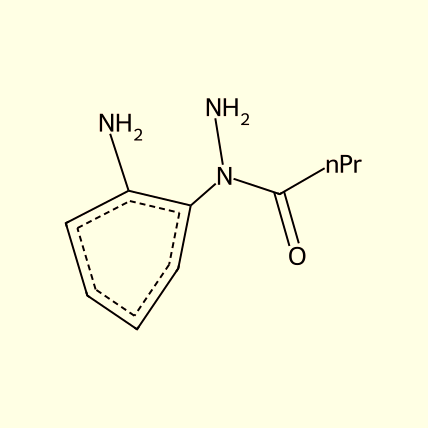 CCCC(=O)N(N)c1ccccc1N